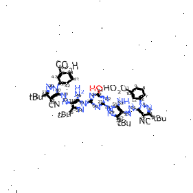 [C-]#[N+]c1c(C(C)(C)C)nn(-c2cccc(C(=O)O)c2)c1N=Nc1c(C(C)(C)C)nn(-c2nc(O)nc(-n3nc(C(C)(C)C)c(N=Nc4c(C#N)c(C(C)(C)C)nn4-c4cccc(C(=O)O)c4)c3N)n2)c1N